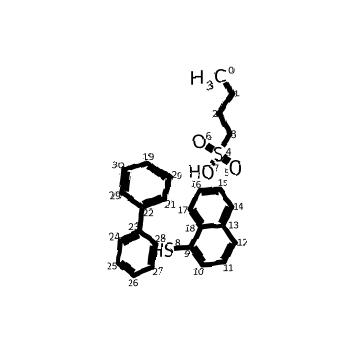 CCCCS(=O)(=O)O.Sc1cccc2ccccc12.c1ccc(-c2ccccc2)cc1